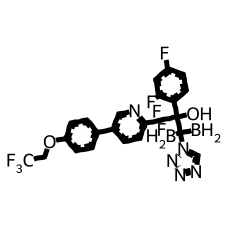 BC(B)(n1cnnn1)C(O)(c1ccc(F)cc1F)C(F)(F)c1ccc(-c2ccc(OCC(F)(F)F)cc2)cn1